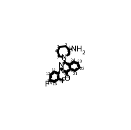 N[C@@H]1CCCCN(c2nn(-c3ccc(F)cc3F)c(=O)c3ccccc23)C1